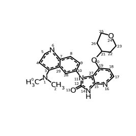 CN(C)c1ccnc2ccc(-n3c(=O)[nH]c4nccc(OC5CCOCC5)c43)cc12